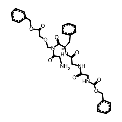 NCC(=O)N(COCC(=O)OCc1ccccc1)C(=O)[C@@H](Cc1ccccc1)NC(=O)CNC(=O)CNC(=O)OCc1ccccc1